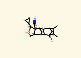 CC1C2C[C@H](C1C)C1C3CC(C21)C1(C#N)C3COC1C1CC1